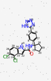 Cn1c(C(=O)NC2(c3ccc(-c4nnn[nH]4)cc3)CCCC2)cc2c(Cl)c(Cl)ccc21